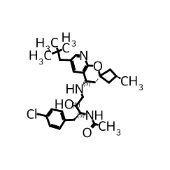 CC(=O)N[C@@H](Cc1ccc(Cl)cc1)[C@H](O)CN[C@H]1C[C@]2(C[C@H](C)C2)Oc2ncc(CC(C)(C)C)cc21